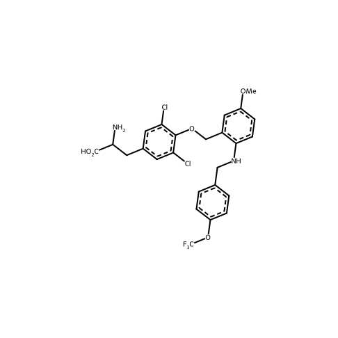 COc1ccc(NCc2ccc(OC(F)(F)F)cc2)c(COc2c(Cl)cc(CC(N)C(=O)O)cc2Cl)c1